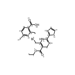 CCOC(=O)C1=C(CBr)NC(c2nccs2)=NC1.Cc1nc(F)ccc1C(=O)O